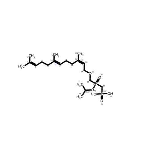 CC(C)=CCC/C(C)=C/CC/C(C)=C\COCP(=O)(CP(=O)(O)O)OC(C)C